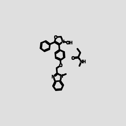 CCC(=O)NC.Cn1c(COc2ccc(C3=C(c4ccccc4)OCN3O)cc2)nc2ccccc21